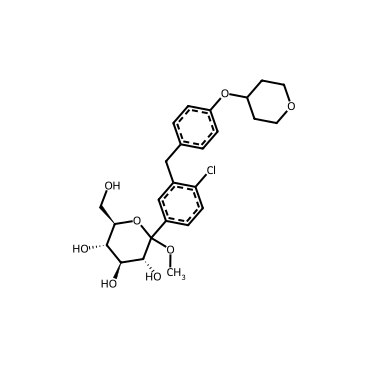 COC1(c2ccc(Cl)c(Cc3ccc(OC4CCOCC4)cc3)c2)O[C@H](CO)[C@@H](O)[C@H](O)[C@H]1O